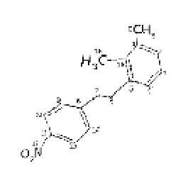 Cc1cc[c]c(CCc2ccc([N+](=O)[O-])cc2)c1C